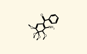 COC1=CC(C(=O)c2ccccc2)=C(N)C(OC)C1(OC)OC